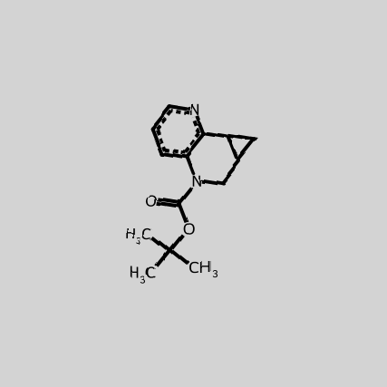 CC(C)(C)OC(=O)N1CC2CC2c2ncccc21